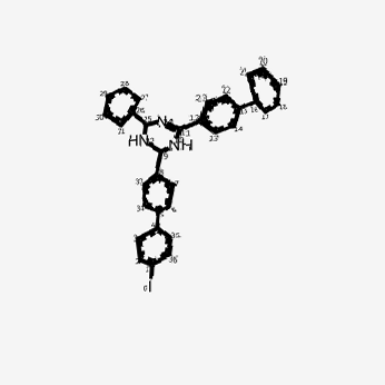 Ic1ccc(-c2ccc(C3NC(c4ccc(-c5ccccc5)cc4)=NC(c4ccccc4)N3)cc2)cc1